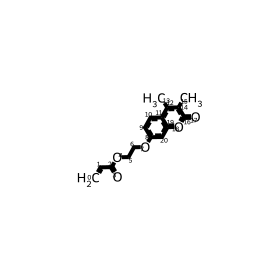 C=CC(=O)OCCOc1ccc2c(C)c(C)c(=O)oc2c1